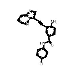 Cc1ccc(C(=O)Nc2ccc(Cl)cc2)cc1C#Cc1cnc2cccnn12